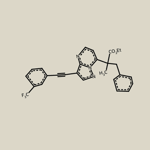 CCOC(=O)C(C)(Cc1ccccc1)c1ccnc2c(C#Cc3cccc(C(F)(F)F)c3)cnn12